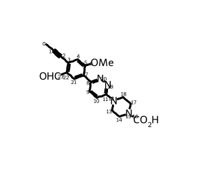 CC#Cc1cc(OC)c(-c2ccc(N3CCN(C(=O)O)CC3)nn2)cc1C=O